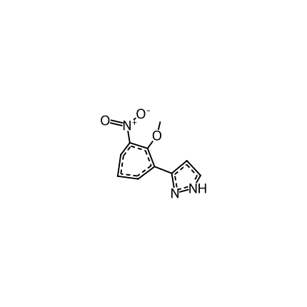 COc1c(-c2cc[nH]n2)cccc1[N+](=O)[O-]